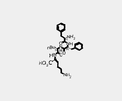 CCCC[C@H](NC(=O)[C@@H](Cc1ccccc1)NC(=O)[C@@H](N)Cc1ccccc1)C(=O)N[C@H](CCCCN)C(=O)O